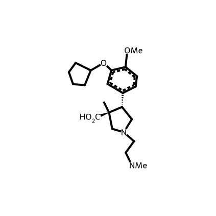 CNCCN1C[C@@H](c2ccc(OC)c(OC3CCCC3)c2)[C@](C)(C(=O)O)C1